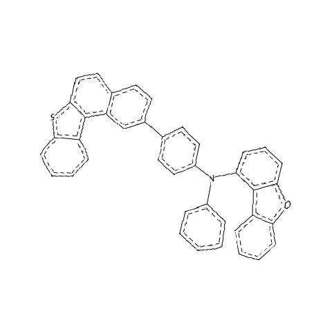 c1ccc(N(c2ccc(-c3ccc4ccc5sc6ccccc6c5c4c3)cc2)c2cccc3oc4ccccc4c23)cc1